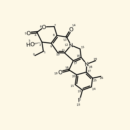 CC[C@@]1(O)C(=O)OCc2c1cc1n(c2=O)Cc2c-1c(=O)c1cc(F)cc(C)c1n2C